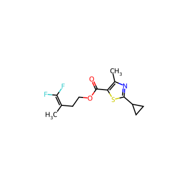 CC(CCOC(=O)c1sc(C2CC2)nc1C)=C(F)F